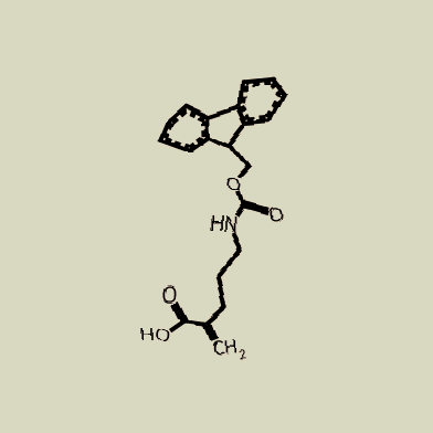 C=C(CCCNC(=O)OCC1c2ccccc2-c2ccccc21)C(=O)O